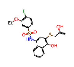 C=C(O)CSc1cc(NS(=O)(=O)c2ccc(F)c(OCC)c2)c2ccccc2c1O